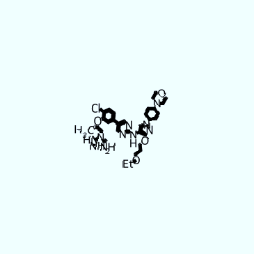 CCOCCCOc1nn([C@H]2CC[C@H](N3CCOCC3)CC2)cc1Nc1ncc(-c2ccc(Cl)c(O[C@@H](C)CN(C=N)NN)c2)cn1